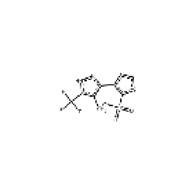 Cc1c(-c2ccsc2S(=O)(=O)Cl)n[nH]c1C(F)(F)F